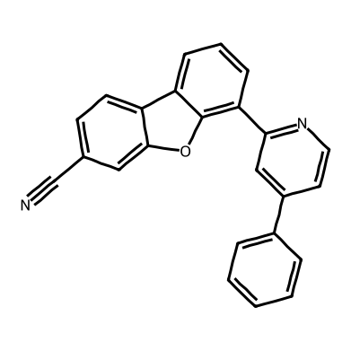 N#Cc1ccc2c(c1)oc1c(-c3cc(-c4ccccc4)ccn3)cccc12